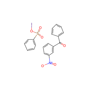 O=C(c1ccccc1)c1cccc([N+](=O)[O-])c1.O=S(=O)(OI)c1ccccc1